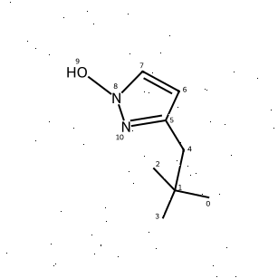 CC(C)(C)Cc1ccn(O)n1